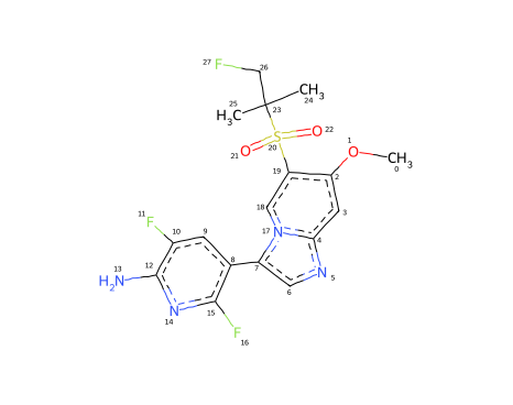 COc1cc2ncc(-c3cc(F)c(N)nc3F)n2cc1S(=O)(=O)C(C)(C)CF